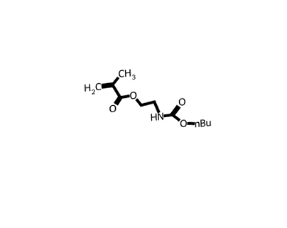 C=C(C)C(=O)OCCNC(=O)OCCCC